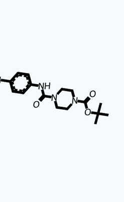 CC(C)(C)OC(=O)N1CCN(C(=O)Nc2ccc(I)cc2)CC1